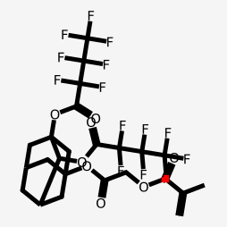 C=C(C)C(=O)OCC(=O)OC12CC3CC(C1)C(OC(=O)C(F)(F)C(F)(F)C(F)(F)F)C(OC(=O)C(F)(F)C(F)(F)C(F)(F)F)(C3)C2